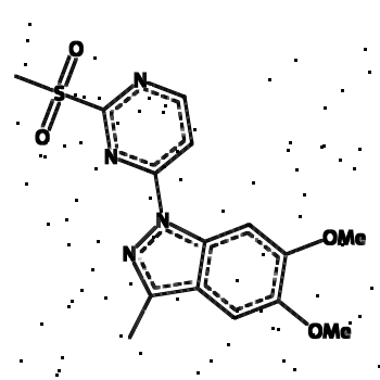 COc1cc2c(C)nn(-c3ccnc(S(C)(=O)=O)n3)c2cc1OC